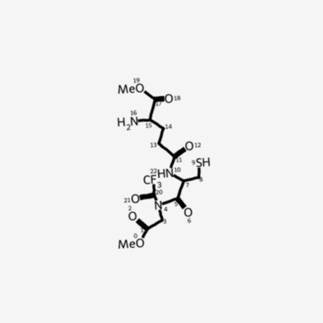 COC(=O)CN(C(=O)C(CS)NC(=O)CCC(N)C(=O)OC)C(=O)C(F)(F)F